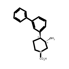 N[C@@H]1CN(C(=O)O)CC[C@H]1c1cccc(-c2ccccc2)c1